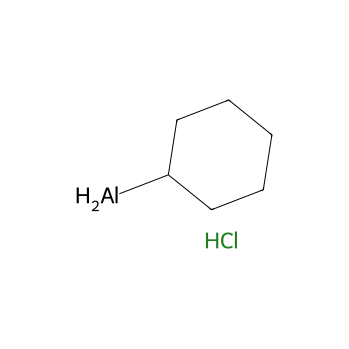 Cl.[AlH2][CH]1CCCCC1